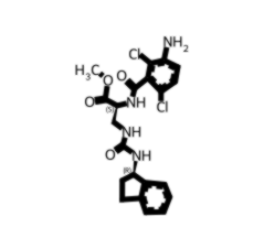 COC(=O)[C@H](CNC(=O)N[C@@H]1CCc2ccccc21)NC(=O)c1c(Cl)ccc(N)c1Cl